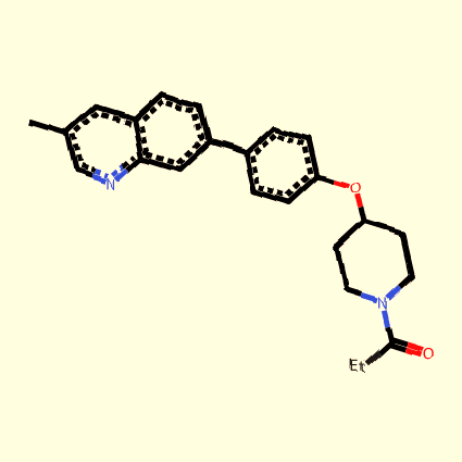 CCC(=O)N1CCC(Oc2ccc(-c3ccc4cc(C)cnc4c3)cc2)CC1